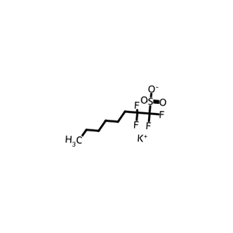 CCCCCCC(F)(F)C(F)(F)S(=O)(=O)[O-].[K+]